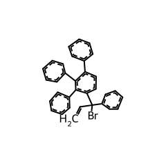 C=CC(Br)(c1ccccc1)c1ccc(-c2ccccc2)c(-c2ccccc2)c1-c1ccccc1